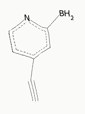 Bc1cc(C#C)ccn1